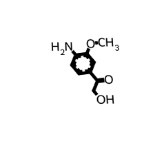 COc1cc(C(=O)CO)ccc1N